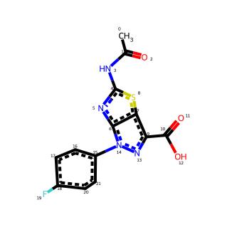 CC(=O)Nc1nc2c(s1)c(C(=O)O)nn2-c1ccc(F)cc1